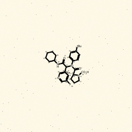 CC(C)(C)c1ccc(N(C(=O)[C@]2(C(C)(C)C)CCCN2C(=O)O)C(C(=O)NC2CCCCC2)c2cncc(F)c2)cc1